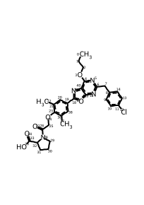 CCCOc1nc(Cc2ccc(Cl)cc2)nc2oc(-c3cc(C)c(OCC(=O)N4CCCC4C(=O)O)c(C)c3)nc12